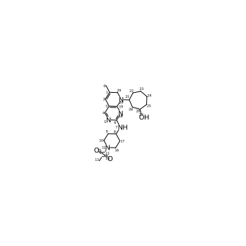 CC1=Cc2cnc(NC3CCN(S(C)(=O)=O)CC3)nc2N(C2CCCCC(O)C2)C1